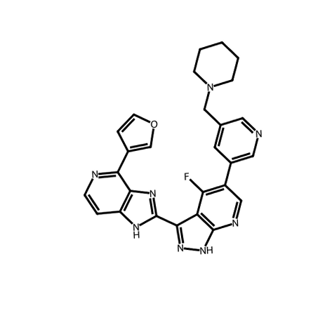 Fc1c(-c2cncc(CN3CCCCC3)c2)cnc2[nH]nc(-c3nc4c(-c5ccoc5)nccc4[nH]3)c12